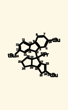 CC(C)C1(C2c3cc(C(C)(C)C)ccc3-c3ccc(C(C)(C)C)cc32)C2=C(CC(C(C)(C)C)=C2)C2CCCC21